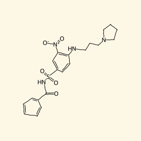 O=C(NS(=O)(=O)c1ccc(NCCCN2CCCC2)c([N+](=O)[O-])c1)c1ccccc1